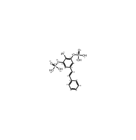 CC(C)c1c(OP(=O)(O)O)cc(C=Cc2ccccc2)cc1OP(=O)(O)O